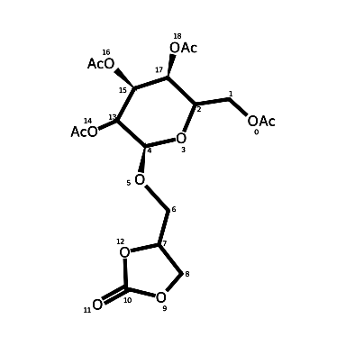 CC(=O)OCC1O[C@@H](OCC2COC(=O)O2)C(OC(C)=O)[C@@H](OC(C)=O)[C@H]1OC(C)=O